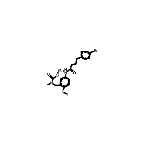 CN(Cc1cc(NC(=O)CCCc2ccc(Br)cc2)ccc1SI)C(=O)OC(C)(C)C